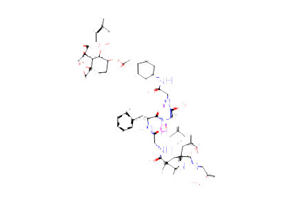 COC1C(OC(=O)C[C@H]2CC[C@H](NC(=O)CNC(=O)[C@H](CC(C)C)NC(=O)[C@H](Cc3ccccc3)NC(=O)CNC(=O)C(C)(CC(C)(CC(C)C)C(=O)NCC(C)O)C(C)C)CC2)CC[C@]2(CO2)C1C1(C)O[C@@H]1CC=C(C)C